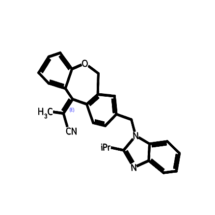 C/C(C#N)=C1/c2ccc(Cn3c(C(C)C)nc4ccccc43)cc2COc2ccccc21